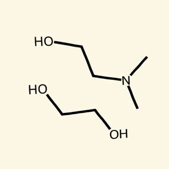 CN(C)CCO.OCCO